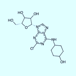 OC[C@H]1O[C@@H](n2cnc3c(NC4CCC(O)CC4)nc(Cl)nc32)C(O)C1O